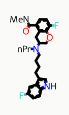 CCCN(CCCCc1c[nH]c2ccc(F)cc12)C1COc2c(F)ccc(C(=O)NC)c2C1